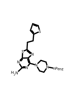 CCCCCN1CCN(c2nc(N)nc3sc(CCc4cccs4)nc23)CC1